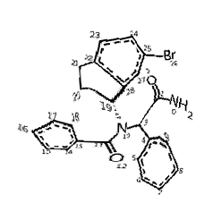 NC(=O)C(c1ccccc1)N(C(=O)c1ccccc1)[C@@H]1CCc2ccc(Br)cc21